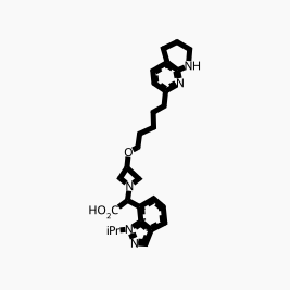 CC(C)n1ncc2cccc(C(C(=O)O)N3CC(OCCCCCc4ccc5c(n4)NCCC5)C3)c21